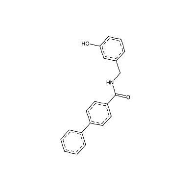 O=C(NCc1cccc(O)c1)c1ccc(-c2ccccc2)cc1